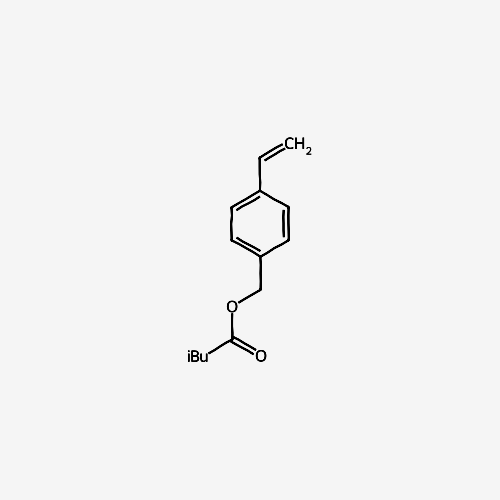 C=Cc1ccc(COC(=O)C(C)CC)cc1